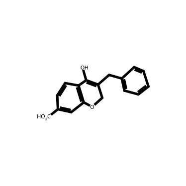 O=C(O)c1ccc2c(c1)OCC(Cc1ccccc1)=C2O